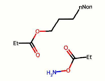 CCC(=O)ON.CCCCCCCCCCCCOC(=O)CC